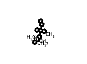 Cc1ccc2c(-c3ccc4ccccc4c3)c3ccccc3c(-c3ccc4c(c3)N(C)c3ccccc3C4(C)C)c2c1